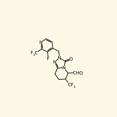 O=CC1C(C(F)(F)F)CCc2nn(Cc3ccnc(C(F)(F)F)c3F)c(=O)n21